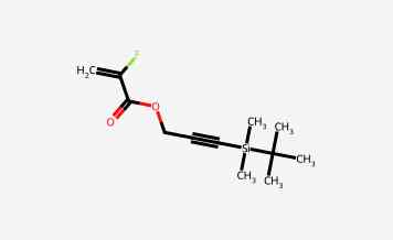 C=C(F)C(=O)OCC#C[Si](C)(C)C(C)(C)C